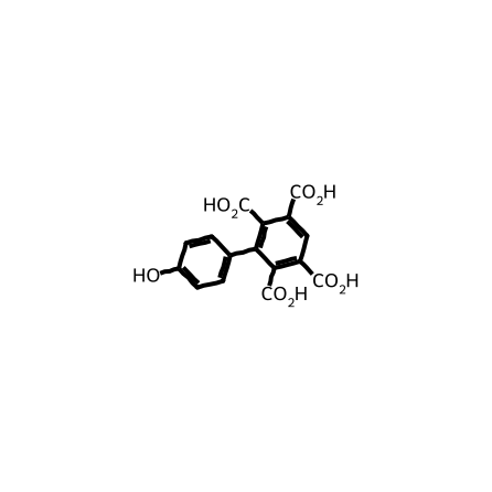 O=C(O)c1cc(C(=O)O)c(C(=O)O)c(-c2ccc(O)cc2)c1C(=O)O